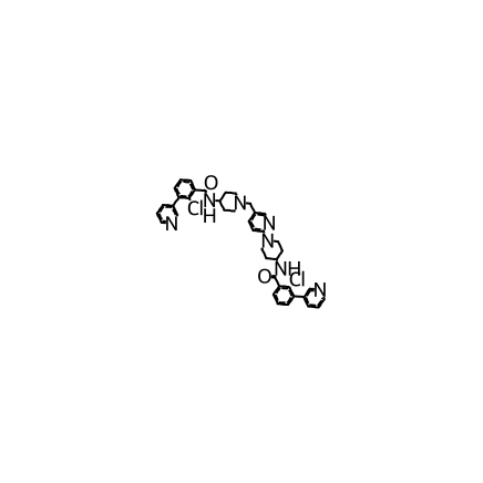 O=C(NC1CCN(Cc2ccc(N3CCC(NC(=O)c4cccc(-c5cccnc5)c4Cl)CC3)nc2)CC1)c1cccc(-c2cccnc2)c1Cl